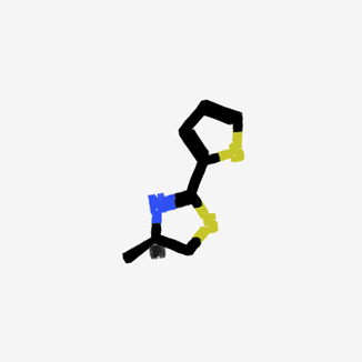 C[C@@H]1CSC(c2cccs2)=N1